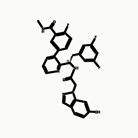 CNC(=O)c1cc(-c2cccnc2[C@H](Cc2cc(F)cc(F)c2)NC(=O)Cn2ncc3ccc(O)cc32)ccc1F